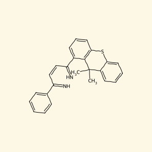 CC1(C)c2ccccc2Sc2cccc(C(=N)/C=C\C(=N)c3ccccc3)c21